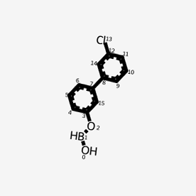 OBOc1cccc(-c2cccc(Cl)c2)c1